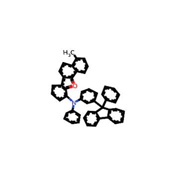 Cc1cccc2c1ccc1c3cccc(N(c4ccccc4)c4cccc(C5(c6ccccc6)c6ccccc6-c6ccccc65)c4)c3oc21